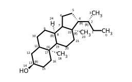 CC[C@@H](C)[C@H]1CCC2[C@@H]3CCC4C[C@H](O)CC[C@]4(C)C3CC[C@@]21C